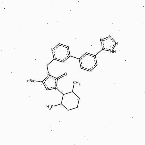 CCCCc1cn(C2C(C)CCCC2C)c(=O)n1Cc1cc(-c2cccc(-c3nnn[nH]3)c2)ccn1